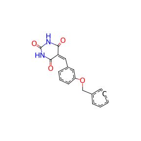 O=C1NC(=O)C(=Cc2cccc(OCc3ccccc3)c2)C(=O)N1